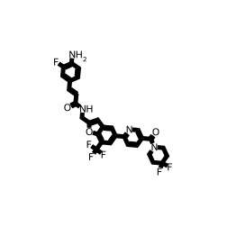 Nc1ccc(C=CC(=O)NCc2cc3cc(-c4ccc(C(=O)N5CCC(F)(F)CC5)cn4)cc(C(F)(F)F)c3o2)cc1F